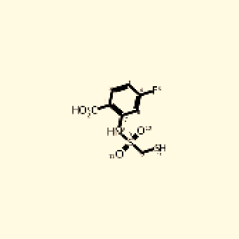 O=C(O)c1ccc(F)cc1NS(=O)(=O)CS